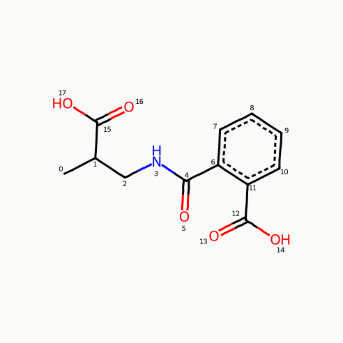 CC(CNC(=O)c1ccccc1C(=O)O)C(=O)O